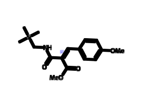 COC(=O)/C(=C\c1ccc(OC)cc1)C(=O)NC[Si](C)(C)C